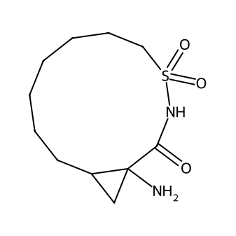 NC12CC1CCCCCCCS(=O)(=O)NC2=O